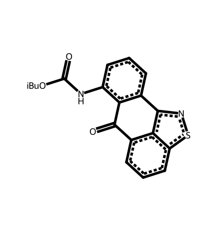 CC(C)COC(=O)Nc1cccc2c1C(=O)c1cccc3snc-2c13